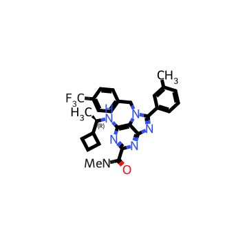 CNC(=O)c1nc(N[C@H](C)C2CCC2)c2c(n1)nc(-c1cccc(C)c1)n2Cc1ccc(C(F)(F)F)cc1